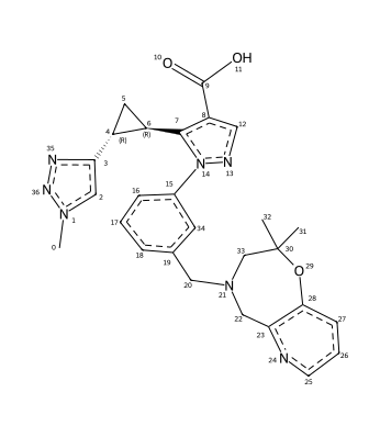 Cn1cc([C@@H]2C[C@H]2c2c(C(=O)O)cnn2-c2cccc(CN3Cc4ncccc4OC(C)(C)C3)c2)nn1